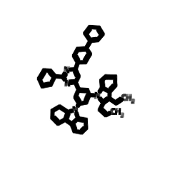 C=Cc1c(/C=C\C)n(-c2cc(-c3cc(-c4ccc(-c5ccccc5)cc4)nc(-c4ccccc4)n3)cc(-n3c4c(c5ccccc53)C=CCC4)c2)c2ccccc12